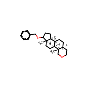 C[C@]12COCC[C@@H]1CC[C@@H]1[C@@H]2CC[C@]2(C)C(OCc3ccccc3)CC[C@@H]12